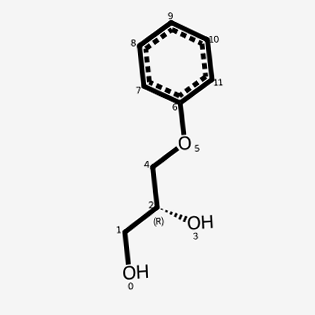 OC[C@@H](O)COc1ccccc1